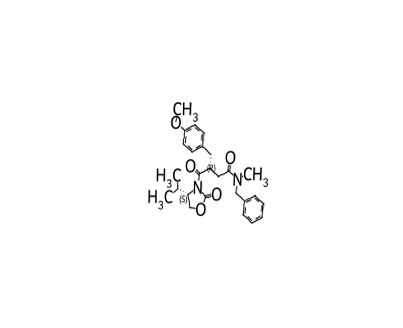 COc1ccc(C[C@H](CC(=O)N(C)Cc2ccccc2)C(=O)N2C(=O)OC[C@@H]2C(C)C)cc1